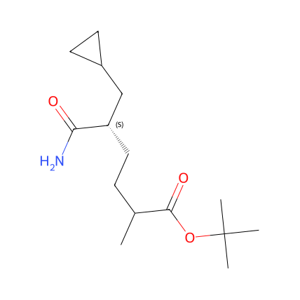 CC(CC[C@@H](CC1CC1)C(N)=O)C(=O)OC(C)(C)C